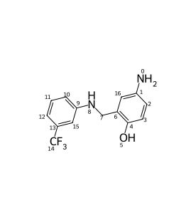 Nc1ccc(O)c(CNc2cccc(C(F)(F)F)c2)c1